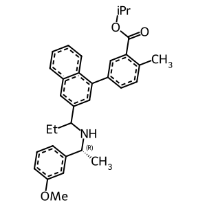 CCC(N[C@H](C)c1cccc(OC)c1)c1cc(-c2ccc(C)c(C(=O)OC(C)C)c2)c2ccccc2c1